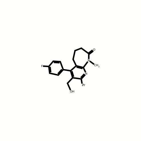 CC(C)c1nc2c(c(-c3ccc(F)cc3)c1CO)CCCC(=O)N2C